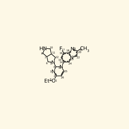 CCOC1=NC(N2CC3CNCC3C2)N(c2cc(F)c3nc(C)cn3c2)C=C1